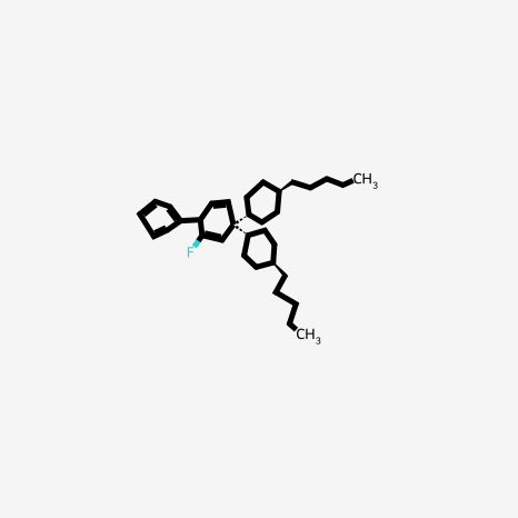 CCCCC[C@H]1CC[C@H](C2([C@H]3CC[C@H](CCCCC)CC3)C=CC(c3ccccc3)C(F)=C2)CC1